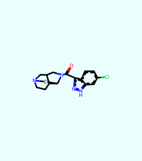 O=C(c1n[nH]c2cc(Cl)ccc12)N1CC2CN3CCC2C1C3